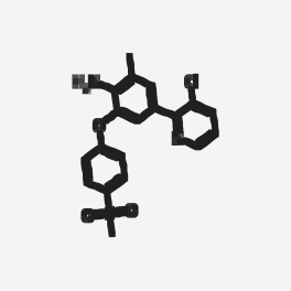 Cc1cc(-c2ncccc2Cl)cc(Oc2ccc(S(C)(=O)=O)cc2)c1N